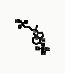 CC[Si](CC)(CC)OC1CCC[C@]2(C)C([C@H](C)CCCS(=O)(=O)C(C)(C)C)=CC[C@@H]12